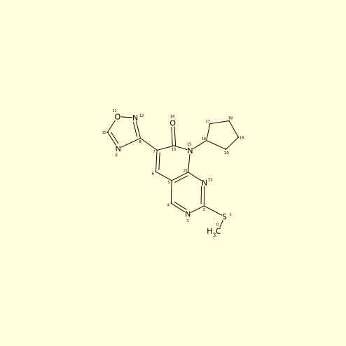 CSc1ncc2cc(-c3ncon3)c(=O)n(C3CCCC3)c2n1